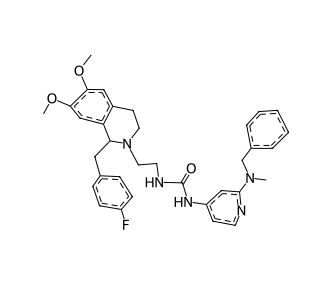 COc1cc2c(cc1OC)C(Cc1ccc(F)cc1)N(CCNC(=O)Nc1ccnc(N(C)Cc3ccccc3)c1)CC2